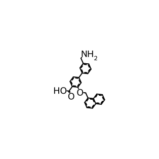 NCc1cccc(-c2ccc(C(=O)O)c(OCc3cccc4ccccc34)c2)c1